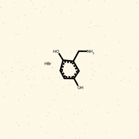 Br.NCc1cc(O)ccc1O